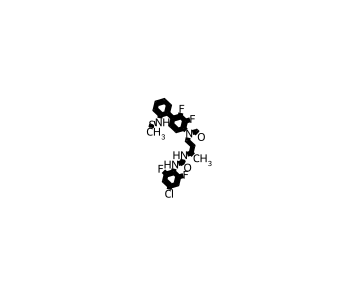 CSNc1ccccc1-c1ccc(N(C=O)CCC(C)NC(=O)Nc2c(F)cc(Cl)cc2F)c(F)c1F